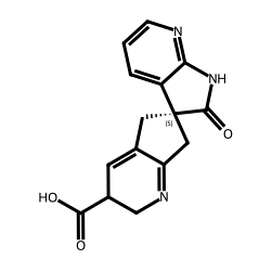 O=C(O)C1C=C2C[C@@]3(CC2=NC1)C(=O)Nc1ncccc13